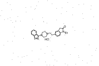 CCN1C(=O)Cc2cc(CCN3CCN(c4nsc5ccccc45)CC3)ccc21.Cl